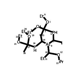 CCOC(C)(OCC)PC(C)[As](C(CC)OC(C)C)C(C)PC(C)(OCC)OCC